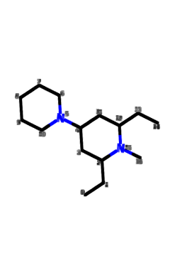 CCC1CC(N2CCCCC2)CC(CC)N1C